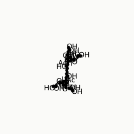 CC(=O)N(CC(O)CCCCC(O)CN(C(C)=O)c1c(I)c(C(=O)NCC(O)CO)c(I)c(C(=O)NCC(O)CO)c1I)c1c(I)c(C(=O)NCC(O)CO)c(I)c(C(=O)NCC(O)CO)c1I